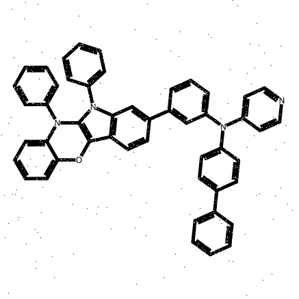 c1ccc(-c2ccc(N(c3ccncc3)c3cccc(-c4ccc5c6c(n(-c7ccccc7)c5c4)N(c4ccccc4)c4ccccc4O6)c3)cc2)cc1